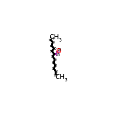 CCCCCCCCC(CCCCCC)P=O